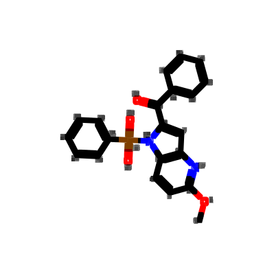 COc1ccc2c(cc(C(=O)c3ccccc3)n2S(=O)(=O)c2ccccc2)n1